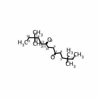 CCC(C)(C)CCC(=O)CCC(=O)CCC(C)(C)CC